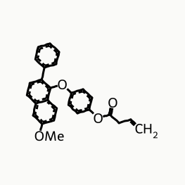 C=CCC(=O)Oc1ccc(Oc2c(-c3ccccc3)ccc3cc(OC)ccc23)cc1